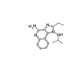 CCc1nc2c(N)nc3ccccc3c2n1NC(C)C